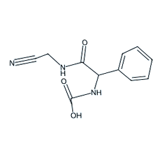 N#CCNC(=O)C(NC(=O)O)c1ccccc1